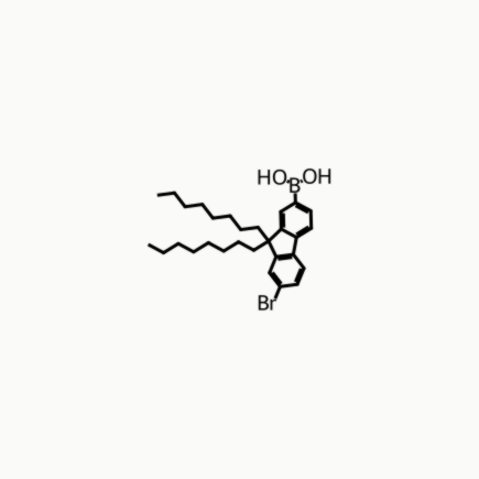 CCCCCCCCC1(CCCCCCCC)c2cc(Br)ccc2-c2ccc(B(O)O)cc21